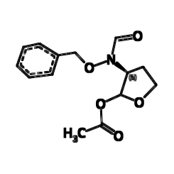 CC(=O)OC1OCC[C@@H]1N(C=O)OCc1ccccc1